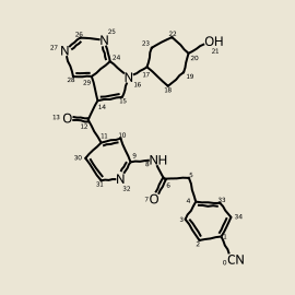 N#Cc1ccc(CC(=O)Nc2cc(C(=O)c3cn(C4CCC(O)CC4)c4ncncc34)ccn2)cc1